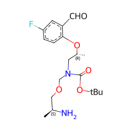 C[C@H](N)COCN(C[C@@H](C)Oc1ccc(F)cc1C=O)C(=O)OC(C)(C)C